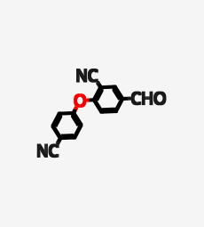 N#Cc1ccc(Oc2ccc(C=O)cc2C#N)cc1